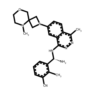 Cc1c(C#N)cccc1[C@@H](N)Nc1nnc(C)c2ccc(N3CC4(COCCN4C)C3)cc12